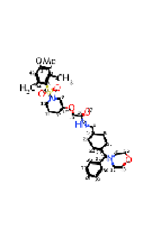 COc1cc(C)c(S(=O)(=O)N2CCCC(OCC(=O)NCC3CCC(C(c4ccccc4)N4CCOCC4)CC3)C2)c(C)c1